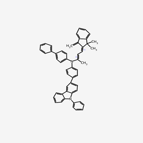 C=C1/C(=C\C=C(/C)N(c2ccc(-c3ccccc3)cc2)c2ccc(-c3ccc4c(c3)c3ccccc3n4-c3ccccc3)cc2)C(C)(C)c2ccccc21